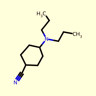 CCCN(CCC)C1CCC(C#N)CC1